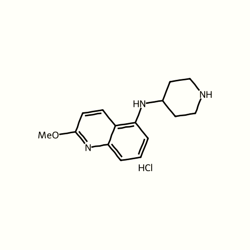 COc1ccc2c(NC3CCNCC3)cccc2n1.Cl